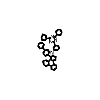 c1ccc(-c2ccc3c4c5c6ccccc6c6ccccc6c5ccc4n(-c4cccc(-c5nc(-c6ccccc6)nc(-c6ccccc6)n5)c4)c3c2)cc1